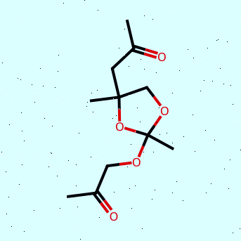 CC(=O)COC1(C)OCC(C)(CC(C)=O)O1